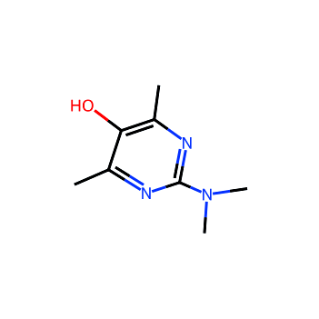 Cc1nc(N(C)C)nc(C)c1O